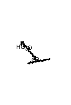 CCCCCCCCC(CCCCCC)OC(=O)CCCCCCC(=O)OCC(O)CN(C)C